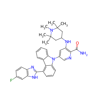 CN1C(C)(C)CC(Nc2cc(-n3c4ccccc4c4c(-c5nc6ccc(F)cc6[nH]5)cccc43)cnc2C(N)=O)CC1(C)C